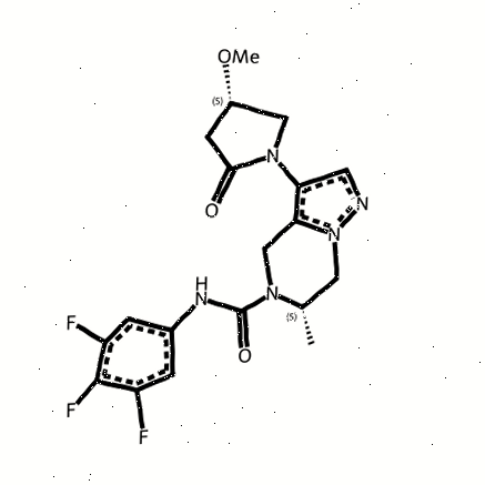 CO[C@H]1CC(=O)N(c2cnn3c2CN(C(=O)Nc2cc(F)c(F)c(F)c2)[C@@H](C)C3)C1